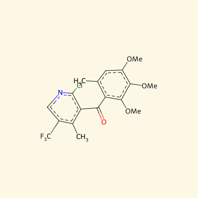 COc1cc(C)c(C(=O)c2c(Cl)ncc(C(F)(F)F)c2C)c(OC)c1OC